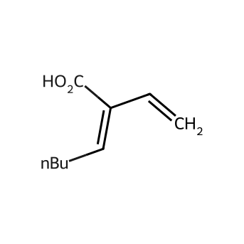 C=C/C(=C/CCCC)C(=O)O